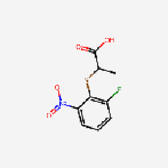 CC(Sc1c(F)cccc1[N+](=O)[O-])C(=O)O